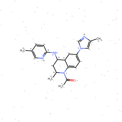 CC(=O)N1C2=CC=C(n3cnc(C)c3)CC2C(Nc2ccc(C)cn2)CC1C